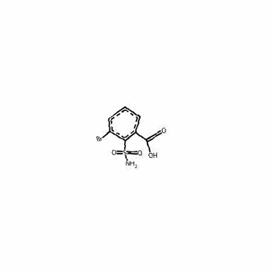 NS(=O)(=O)c1c(Br)cccc1C(=O)O